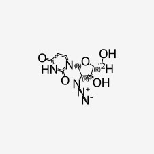 [2H]C(O)[C@H]1O[C@@H](n2ccc(=O)[nH]c2=O)[C@H](N=[N+]=[N-])[C@@H]1O